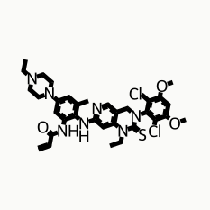 C=CC(=O)Nc1cc(N2CCN(CC)CC2)cc(C)c1Nc1cc2c(cn1)CN(c1c(Cl)c(OC)cc(OC)c1Cl)C(=S)N2CC